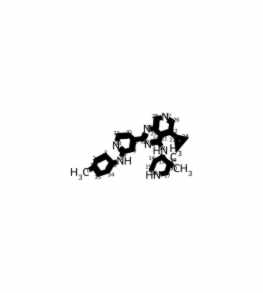 Cc1ccc(Nc2cc(-c3nc(NC4CCNCC4(C)C)c4c(C5CC5)cncc4n3)ccn2)cc1